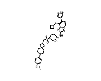 C[C@@H]1CN(S(=O)(=O)CC2CC3(CCN(c4ccc(N)cc4)CC3)C2)CC[C@@H]1Nc1nc2c(OC3CCC3)c(-c3cn[nH]c3)ncn2n1